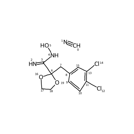 C#N.N=C(NO)C1(Cc2ccc(Cl)c(Cl)c2)OCCO1